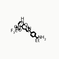 CCC(N)c1ccc(-n2cc(CC3C(=O)NC=CN3S(=O)(=O)C(F)(F)F)nn2)cc1